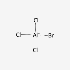 [Cl][Al-]([Cl])([Cl])[Br]